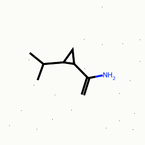 C=C(N)C1CC1C(C)C